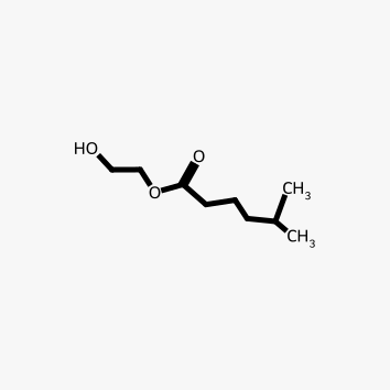 CC(C)CCCC(=O)OCCO